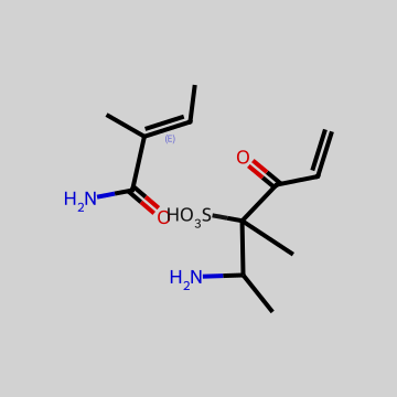 C/C=C(\C)C(N)=O.C=CC(=O)C(C)(C(C)N)S(=O)(=O)O